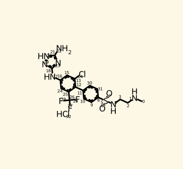 CNCCNS(=O)(=O)c1ccc(-c2c(Cl)cc(Nc3n[nH]c(N)n3)cc2C(F)(F)F)cc1.Cl